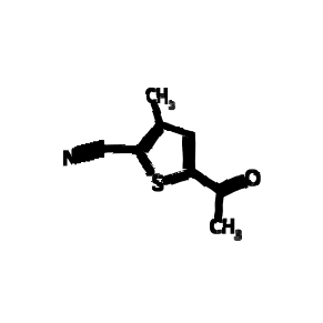 CC(=O)c1cc(C)c(C#N)s1